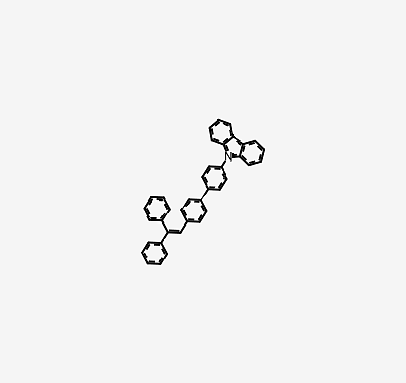 C(=C(c1ccccc1)c1ccccc1)c1ccc(-c2ccc(-n3c4ccccc4c4ccccc43)cc2)cc1